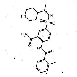 Cc1ccccc1C(=O)Nc1ccc(S(=O)(=O)NC(C)C2CCNCC2)cc1C(N)=O